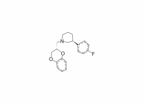 Fc1ccc([C@@H]2CCCN(C[C@H]3COc4ccccc4O3)C2)cc1